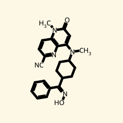 CN(c1cc(=O)n(C)c2ccc(C#N)nc12)C1CCC(/C(=N/O)c2ccccc2)CC1